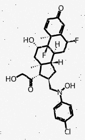 C[C@]12C[C@H](O)[C@@]3(F)[C@@H](C[C@H](F)C4=CC(=O)C=C[C@@]43C)[C@@H]1C[C@@H](CN(O)c1ccc(Cl)cc1)[C@@H]2C(=O)CO